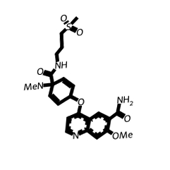 CNC1(C(=O)NCCCS(C)(=O)=O)C=CC(Oc2ccnc3cc(OC)c(C(N)=O)cc23)C=C1